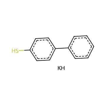 Sc1ccc(-c2ccccc2)cc1.[KH]